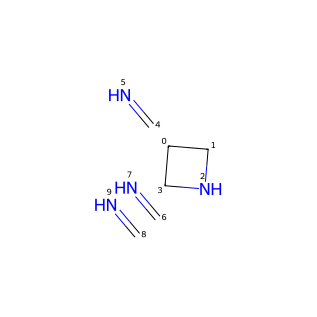 C1CNC1.C=N.C=N.C=N